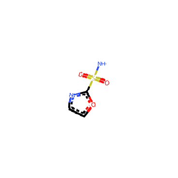 [NH]S(=O)(=O)c1ncco1